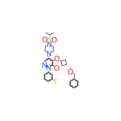 CC(C)S(=O)(=O)N1CCN(c2cnn(-c3cccc(F)c3)c(=O)c2O[C@H]2C[C@@H](COCc3ccccc3)C2)CC1